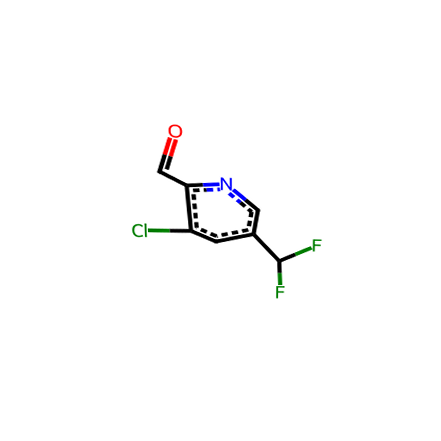 O=Cc1ncc(C(F)F)cc1Cl